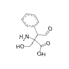 NC(CO)(C(=O)O)C(C=O)c1ccccc1